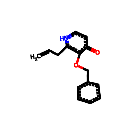 C=CCc1[nH]ccc(=O)c1OCc1ccccc1